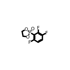 O=P1(c2c(F)ccc(F)c2F)OCCO1